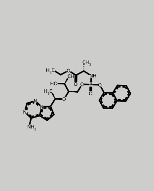 CCOC(=O)[C@H](C)NP(=O)(OC[C@@H](O[C@H](C)c1ccc2c(N)ncnn12)[C@H](C)O)Oc1cccc2ccccc12